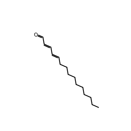 CCCCCCCCCCC=CC=CC=O